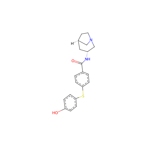 O=C(N[C@@H]1C[C@H]2CCN(C2)C1)c1ccc(Sc2ccc(O)cc2)cc1